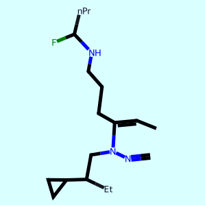 C=NN(CC(CC)C1CC1)/C(=C\C)CCCNC(F)CCC